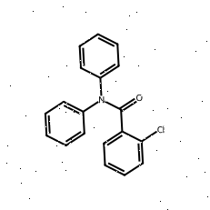 O=C(c1ccccc1Cl)N(c1ccccc1)c1ccccc1